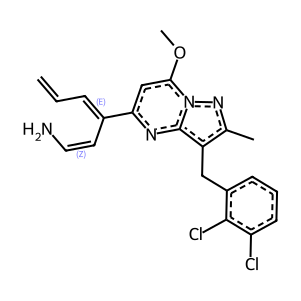 C=C/C=C(\C=C/N)c1cc(OC)n2nc(C)c(Cc3cccc(Cl)c3Cl)c2n1